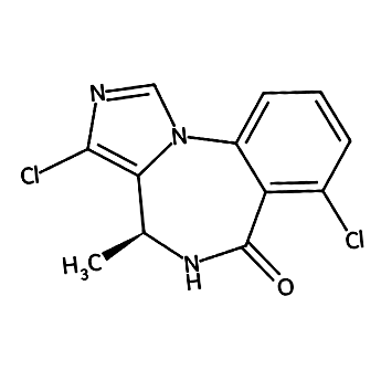 C[C@@H]1NC(=O)c2c(Cl)cccc2-n2cnc(Cl)c21